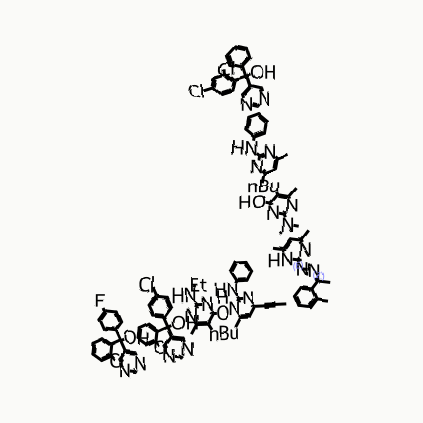 C/C(=N/N=c1\nc(C)cc(C)[nH]1)c1ccccc1C.CC#Cc1cc(C)nc(Nc2ccccc2)n1.CCCCc1c(C)nc(N(C)C)nc1O.CCCCc1c(C)nc(NCC)nc1O.Cc1cc(C)nc(Nc2ccccc2)n1.OC(c1ccc(Cl)cc1)(c1cncnc1)c1ccccc1Cl.OC(c1ccc(F)cc1)(c1cncnc1)c1ccccc1Cl.OC(c1ccccc1)(c1cncnc1)c1ccc(Cl)cc1Cl